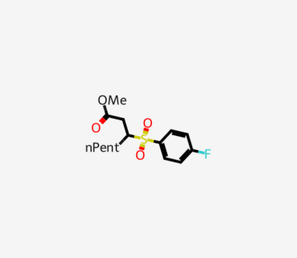 CCCCCC(CC(=O)OC)S(=O)(=O)c1ccc(F)cc1